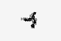 O=C(Nc1ccc(OC2CCC2)c(F)c1C1=CCN(Cc2cc[nH]n2)CC1)c1csc(-c2ccnnc2)n1